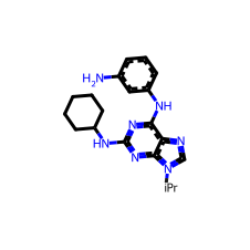 CC(C)n1cnc2c(Nc3cccc(N)c3)nc(NC3CCCCC3)nc21